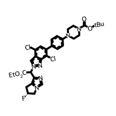 CCOC(=O)C(c1ncn2c1C[C@@H](F)C2)n1cc2c(Cl)cc(-c3ccc(N4CCN(C(=O)OC(C)(C)C)CC4)cc3)c(Cl)c2n1